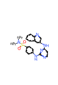 CCCN(CCC)S(=O)(=O)c1ccc(Nc2nccc(Nc3cnc4ccccc4c3)n2)cc1